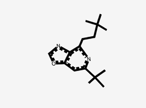 CC(C)(C)CCc1nc(C(C)(C)C)cc2ocnc12